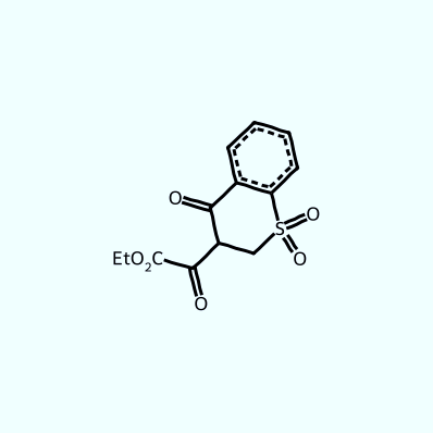 CCOC(=O)C(=O)C1CS(=O)(=O)c2ccccc2C1=O